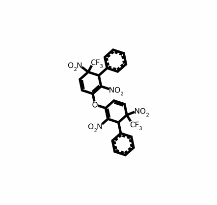 O=[N+]([O-])C1=C(OC2=C([N+](=O)[O-])C(c3ccccc3)C([N+](=O)[O-])(C(F)(F)F)C=C2)C=CC([N+](=O)[O-])(C(F)(F)F)C1c1ccccc1